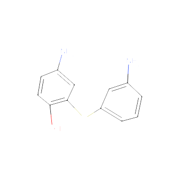 Nc1cccc(Sc2cc(N)ccc2O)c1